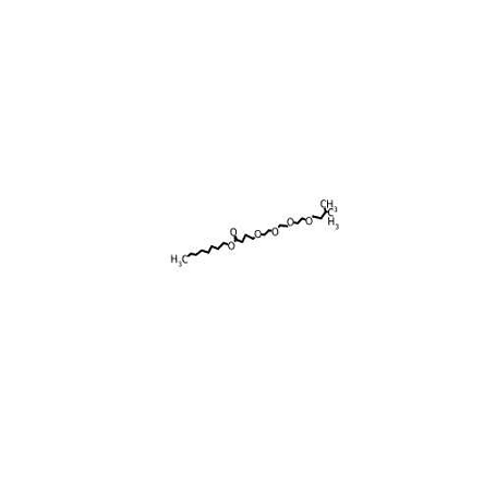 CCCCCCCCOC(=O)CCCOCCOCCOCCOCCC(C)C